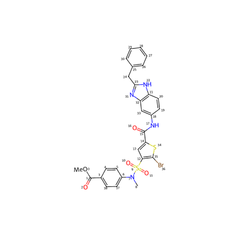 COC(=O)c1ccc(N(C)S(=O)(=O)c2cc(C(=O)Nc3ccc4[nH]c(Cc5ccccc5)nc4c3)sc2Br)cc1